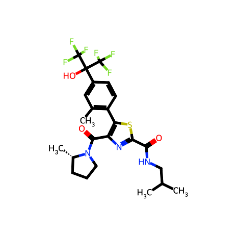 Cc1cc(C(O)(C(F)(F)F)C(F)(F)F)ccc1-c1sc(C(=O)NCC(C)C)nc1C(=O)N1CCC[C@@H]1C